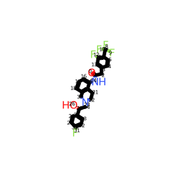 O=C(Cc1ccc(C(F)(F)F)c(F)c1)Nc1cccc2c1CCN(CC(O)c1ccc(F)cc1)C2